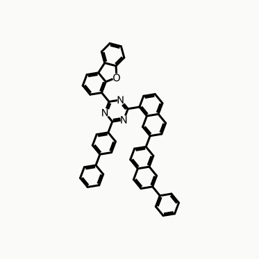 c1ccc(-c2ccc(-c3nc(-c4cccc5ccc(-c6ccc7ccc(-c8ccccc8)cc7c6)cc45)nc(-c4cccc5c4oc4ccccc45)n3)cc2)cc1